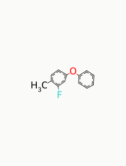 Cc1ccc(Oc2ccccc2)cc1F